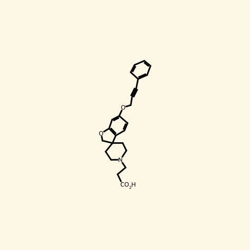 O=C(O)CCN1CCC2(CC1)COc1cc(OCC#Cc3ccccc3)ccc12